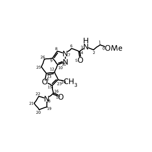 COCCNC(=O)Cn1cc2c(n1)-c1c(oc(C(=O)N3CCCC3)c1C)CC2